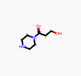 O=C(CCO)N1CCNCC1